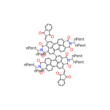 CCCCCC(CCCCC)N1C(=O)c2ccc3c4cc(C=C5C(=O)c6ccccc6C5=O)c5c6c(cc(-c7cc8c9c(c(C=C%10C(=O)c%11ccccc%11C%10=O)cc%10c%11ccc%12c%13c(ccc(c7c9%10)c%13%11)C(=O)N(C(CCCCC)CCCCC)C%12=O)C(=O)N(C(CCCCC)CCCCC)C8=O)c(c7ccc(c2c37)C1=O)c64)C(=O)N(C(CCCCC)CCCCC)C5=O